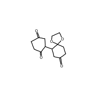 O=C1CCC(=O)C(C2CC(=O)CCC23OCCO3)C1